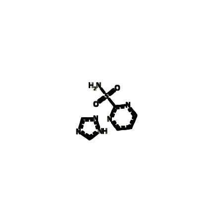 NS(=O)(=O)c1ncccn1.c1nc[nH]n1